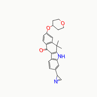 CC1(C)c2cc(OC3CCOCC3)ccc2C(=O)c2c1[nH]c1cc(C3C=N3)ccc21